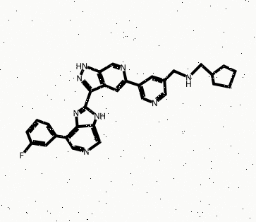 Fc1cccc(-c2cncc3[nH]c(-c4n[nH]c5cnc(-c6cncc(CNCC7CCCC7)c6)cc45)nc23)c1